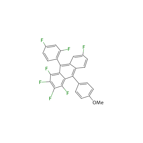 COc1ccc(-c2c3ccc(F)cc3c(-c3ccc(F)cc3F)c3c(F)c(F)c(F)c(F)c23)cc1